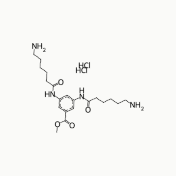 COC(=O)c1cc(NC(=O)CCCCCN)cc(NC(=O)CCCCCN)c1.Cl.Cl